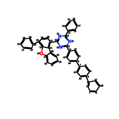 c1ccc(-c2ccc(-c3ccc(-c4nc(-c5ccccc5)nc(-c5ccc(-c6ccccc6)c6oc7ccccc7c56)n4)cc3)cc2)cc1